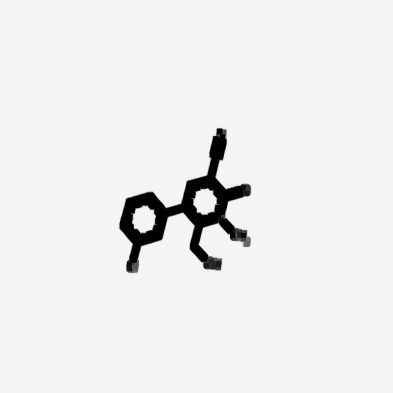 Cn1c(CO)c(-c2cccc(Cl)c2)cc(C#N)c1=O